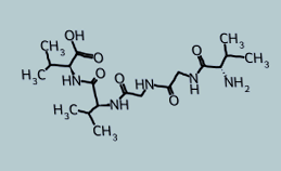 CC(C)[C@H](N)C(=O)NCC(=O)NCC(=O)N[C@H](C(=O)N[C@H](C(=O)O)C(C)C)C(C)C